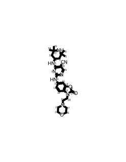 CC1(C)CC(Nc2nc(Nc3ccc4c(c3)oc(=O)n4CCN3CCOCC3)ncc2C#N)CC(C)(C)N1